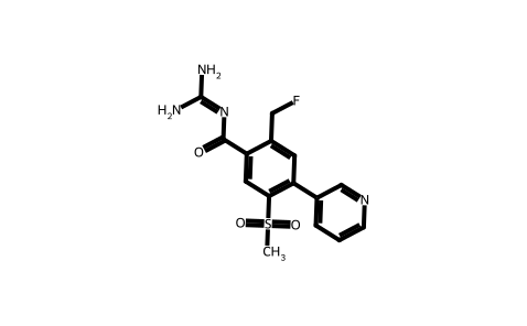 CS(=O)(=O)c1cc(C(=O)N=C(N)N)c(CF)cc1-c1cccnc1